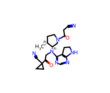 C[C@@H]1CCN(C(=O)CC#N)C[C@@H]1N(CC(=O)C1(C#N)CC1)c1ncnc2c1CCN2